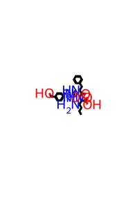 CCCC(N)C(NC(=O)C(Cc1ccccc1)NC(=O)/N=N/c1ccc(CO)cc1)C(=O)O